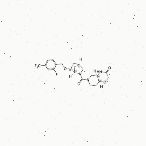 O=C1CO[C@H]2CCN(C(=O)N3C[C@H]4C[C@@H]3[C@H](OCc3ccc(C(F)(F)F)cc3F)C4)C[C@H]2N1